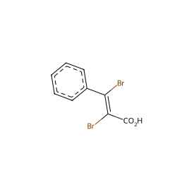 O=C(O)C(Br)=C(Br)c1ccccc1